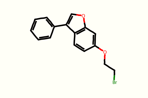 BrCCOc1ccc2c(-c3ccccc3)coc2c1